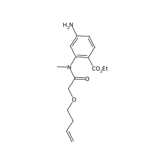 C=CCCOCC(=O)N(C)c1cc(N)ccc1C(=O)OCC